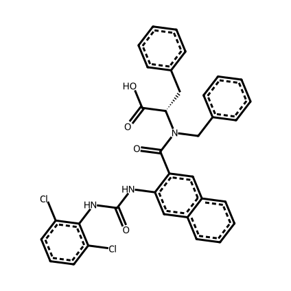 O=C(Nc1cc2ccccc2cc1C(=O)N(Cc1ccccc1)[C@@H](Cc1ccccc1)C(=O)O)Nc1c(Cl)cccc1Cl